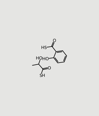 CC(O)C(=O)S.O=C(S)c1ccccc1O